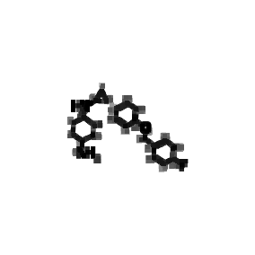 NC1CCC(N[C@H]2C[C@@H]2c2ccc(OCc3ccc(F)cc3)cc2)CC1